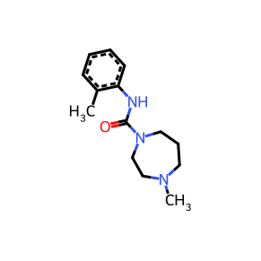 Cc1ccccc1NC(=O)N1CCCN(C)CC1